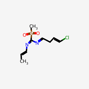 C/C=C/N=C(\N=C\C/C=C/Cl)S(C)(=O)=O